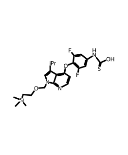 CC(C)c1cn(COCC[Si](C)(C)C)c2nccc(Oc3c(F)cc(NC(O)=S)cc3F)c12